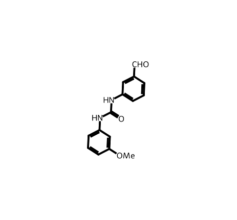 COc1cccc(NC(=O)Nc2cccc(C=O)c2)c1